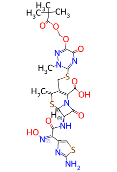 C=C1S[C@@H]2[C@H](NC(=O)/C(=N\O)c3csc(N)n3)C(=O)N2C(C(=O)O)=C1CSc1nc(=O)c(OCOC(=O)C(C)(C)C)nn1C